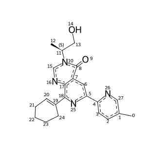 Cc1ccc(-c2cc3c(=O)n([C@@H](C)CO)cnc3c(C3=CCCCC3)n2)nc1